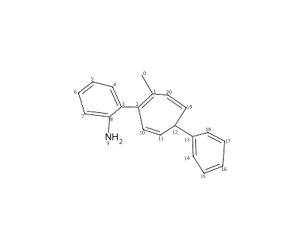 CC1=C(c2ccccc2N)C=CC(c2ccccc2)C=C1